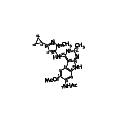 COc1cc2c(cc1NC(C)=O)[nH]c1nc(C)nc(Nc3cc(C4CC4)nn3C)c12